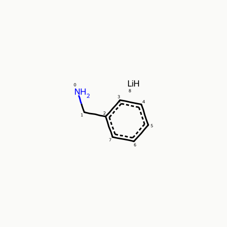 NCc1[c]cccc1.[LiH]